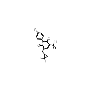 O=C(Cl)c1cn(CC2CC2(F)F)c(=O)n(-c2ccc(F)cc2)c1=O